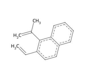 C=Cc1ccc2ccccc2c1C(=C)C